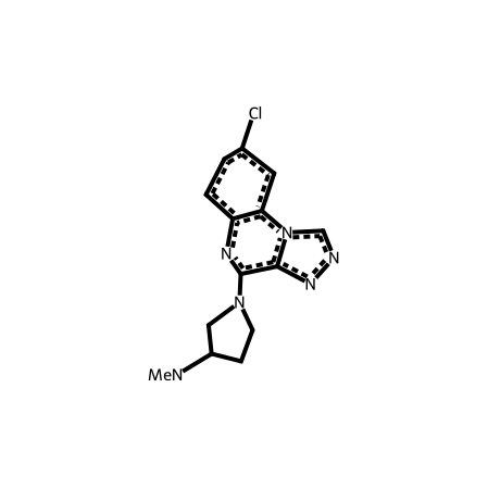 CNC1CCN(c2nc3ccc(Cl)cc3n3cnnc23)C1